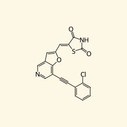 O=C1NC(=O)C(=Cc2cc3cncc(C#Cc4ccccc4Cl)c3o2)S1